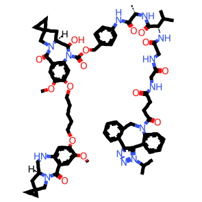 COc1cc2c(cc1OCCCCCOc1cc3c(cc1OC)C(=O)N1CC4(CC4)C[C@H]1C(O)N3C(=O)OCc1ccc(NC(=O)[C@H](C)NC(=O)[C@@H](NC(=O)CNC(=O)CNC(=O)CCC(=O)N3Cc4ccccc4-c4nnn(C(C)C)c4-c4ccccc43)C(C)C)cc1)NC[C@@H]1CC3(CC3)CN1C2=O